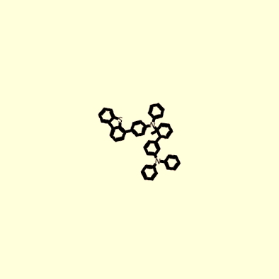 CC1(N(c2ccccc2)c2ccc(-c3cccc4c3sc3ccccc34)cc2)C=CC=CC1c1cccc(N(c2ccccc2)c2ccccc2)c1